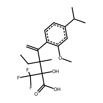 C=C(c1ccc(C(C)C)cc1OC)C(C)(CC)C(O)(C(=O)O)C(F)(F)F